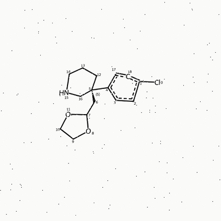 Clc1ccc([C@@]2(CC3OCCO3)CCCNC2)cc1